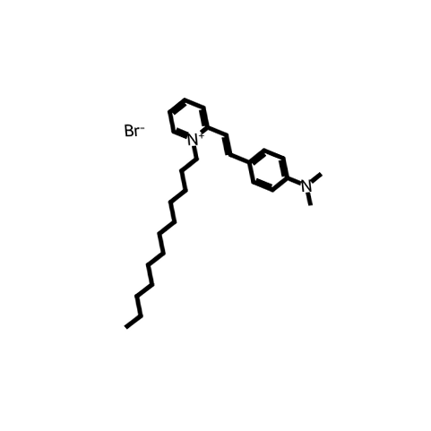 CCCCCCCCCCCC[n+]1ccccc1/C=C/c1ccc(N(C)C)cc1.[Br-]